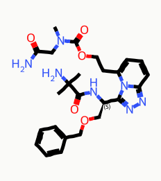 CN(CC(N)=O)C(=O)OCCc1cccc2nnc([C@@H](COCc3ccccc3)NC(=O)C(C)(C)N)n12